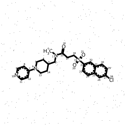 CN(CC1CCN(c2ccncc2)CC1)C(=O)CCS(=O)(=O)c1ccc2cc(Cl)ccc2c1